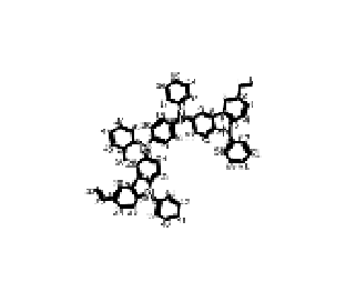 C=Cc1ccc2c(c1)c1cc(N(c3ccccc3)c3ccc(N(c4ccc5c(c4)c4cc(C=C)ccc4n5-c4ccccc4)C4C=CC=CC4C)cc3)ccc1n2-c1ccccc1